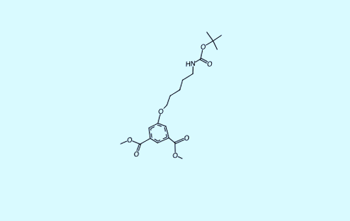 COC(=O)c1cc(OCCCCCNC(=O)OC(C)(C)C)cc(C(=O)OC)c1